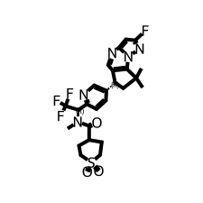 CN(C(=O)C1CCS(=O)(=O)CC1)[C@H](c1ccc([C@H]2CC(C)(C)c3c2cnc2cc(F)nn32)cn1)C(F)(F)F